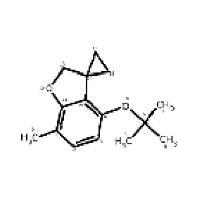 Cc1ccc(OC(C)(C)C)c2c1OCC21CC1